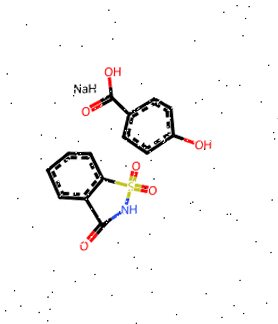 O=C(O)c1ccc(O)cc1.O=C1NS(=O)(=O)c2ccccc21.[NaH]